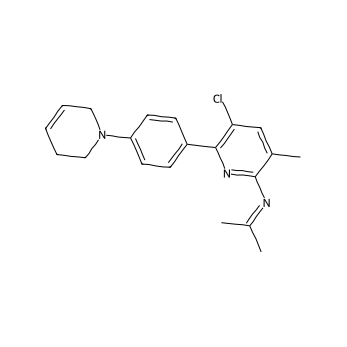 CC(C)=Nc1nc(-c2ccc(N3CC=CCC3)cc2)c(Cl)cc1C